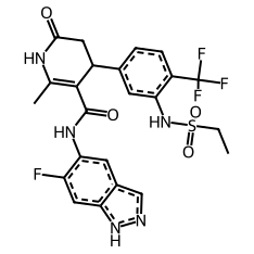 CCS(=O)(=O)Nc1cc(C2CC(=O)NC(C)=C2C(=O)Nc2cc3cn[nH]c3cc2F)ccc1C(F)(F)F